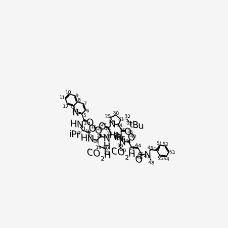 CC(C)[C@H](NC(=O)c1ccc2ccccc2n1)C(=O)N[C@@H](CCC(=O)O)C(=O)N[C@H](C(=O)N1CC[C@H](CC(C)(C)C)C1C(=O)NN(CC(=O)O)C(=O)/C=C/C(=O)N(C)Cc1ccccc1)C(C)C